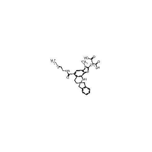 COCCNC(=O)c1cc2c(nc(C)n2C)c2c1CCC1(Cc3ccccc3C1)N2.O=C(O)CC(=O)O